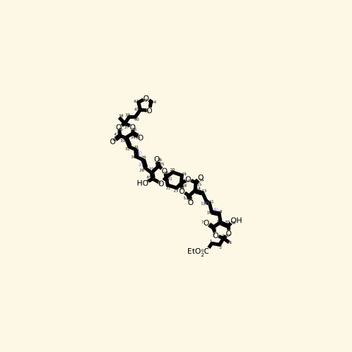 CCOC(=O)CCC1(C)OC(=O)C(/C=C/C=C/C=C2C(=O)OC3(CCC4(CC3)OC(=O)C(/C=C/C=C/C=C3C(=O)OC(C)(CCC5COCO5)OC3=O)=C(O)O4)OC2=O)=C(O)O1